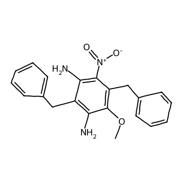 COc1c(N)c(Cc2ccccc2)c(N)c([N+](=O)[O-])c1Cc1ccccc1